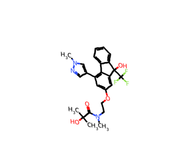 CN(CCOc1cc(-c2cnn(C)c2)c2c(c1)C(O)(C(F)(F)F)c1ccccc1-2)C(=O)C(C)(C)O